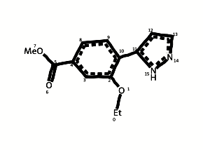 CCOc1cc(C(=O)OC)ccc1-c1ccn[nH]1